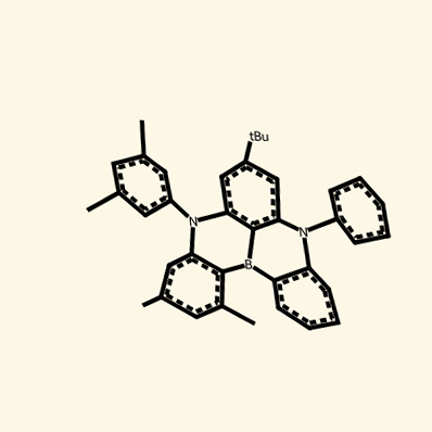 Cc1cc(C)cc(N2c3cc(C)cc(C)c3B3c4ccccc4N(c4ccccc4)c4cc(C(C)(C)C)cc2c43)c1